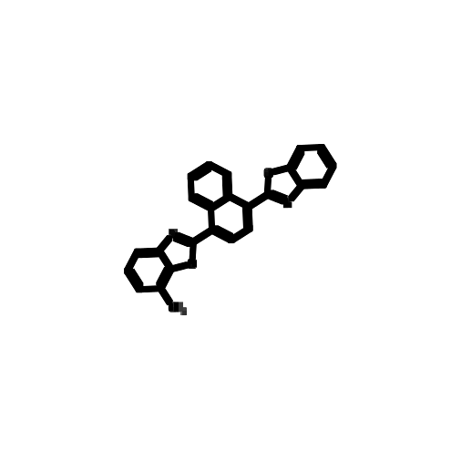 Cc1cccc2nc(-c3ccc(-c4nc5ccccc5o4)c4ccccc34)oc12